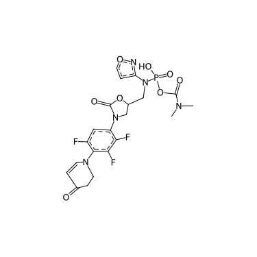 CN(C)C(=O)OP(=O)(O)N(CC1CN(c2cc(F)c(N3C=CC(=O)CC3)c(F)c2F)C(=O)O1)c1ccon1